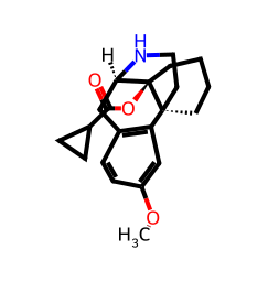 COc1ccc2c(c1)[C@@]13CCCC[C@@]1(OC(=O)C1CC1)[C@@H](C2)NCC3